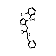 O=C(Cc1sccc1Nc1ccccc1Cl)OCc1ccccc1